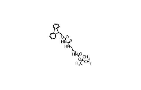 CC(C)(C)OC(=O)NCCCNC(=S)NC(=O)OCC1c2ccccc2-c2ccccc21